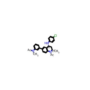 CC(=O)N(C)c1cccc(-c2ccc3c(c2)[C@H](Nc2ccc(Cl)cc2)C[C@H](C)N3C(C)=O)c1